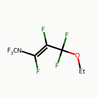 CCOC(F)(F)/C(F)=C(\F)NC(F)(F)F